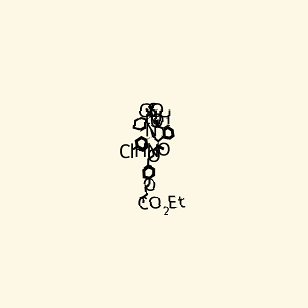 CCOC(=O)CCCOc1ccc(CONC(=O)[C@@H]2c3ccccc3C(=O)N([C@H]3CCCC[C@@H]3NS(C)(=O)=O)[C@H]2c2ccc(Cl)cc2)cc1